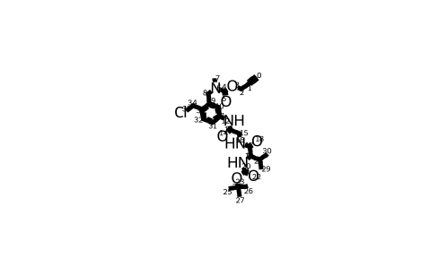 C#CCOC(=O)N(C)Cc1cc(NC(=O)CNC(=O)C(NC(=O)OC(C)(C)C)C(C)C)ccc1CCl